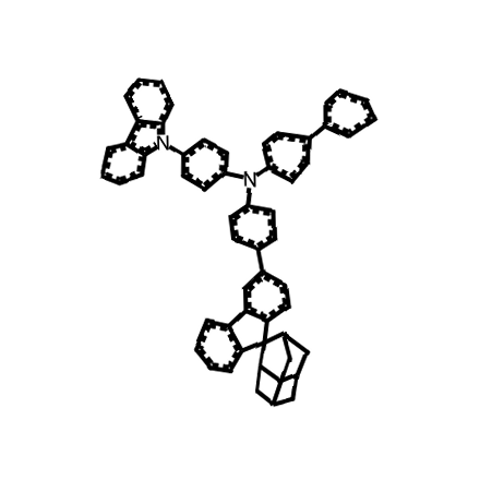 c1ccc(-c2ccc(N(c3ccc(-c4ccc5c(c4)-c4ccccc4C54C5CC6CC(C5)CC4C6)cc3)c3ccc(-n4c5ccccc5c5ccccc54)cc3)cc2)cc1